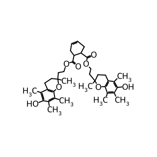 Cc1c(C)c2c(c(C)c1O)CCC(C)(CCOC(=O)C1CC=CCC1C(=O)OCCC1(C)CCc3c(C)c(O)c(C)c(C)c3O1)O2